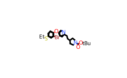 CCSc1ccc(Oc2ccc(CCC3CCN(C(=O)OC(C)(C)C)CC3)nc2)c(Br)c1